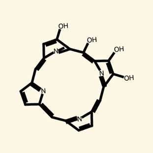 OC1=CC2=CC3=NC(=CC4=NC(=CC5=NC(=C(O)C1=N2)C(O)=C5O)C=C4)C=C3